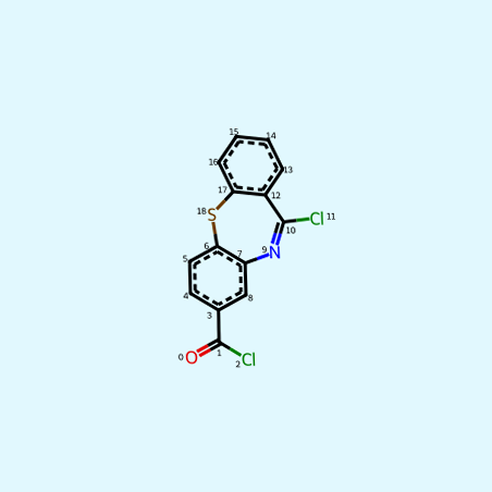 O=C(Cl)c1ccc2c(c1)N=C(Cl)c1ccccc1S2